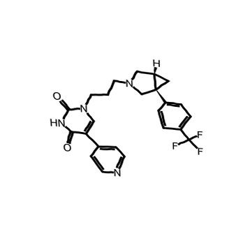 O=c1[nH]c(=O)n(CCCN2C[C@@H]3C[C@]3(c3ccc(C(F)(F)F)cc3)C2)cc1-c1ccncc1